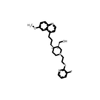 COc1ccc2nccc(CCC[C@@H]3CCN(CCSc4ncccc4F)C[C@@H]3CO)c2c1